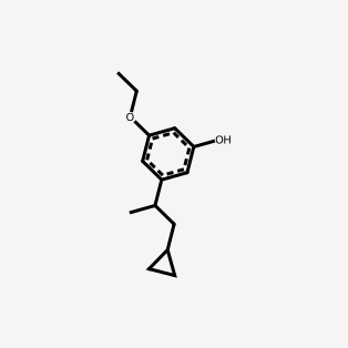 CCOc1cc(O)cc(C(C)CC2CC2)c1